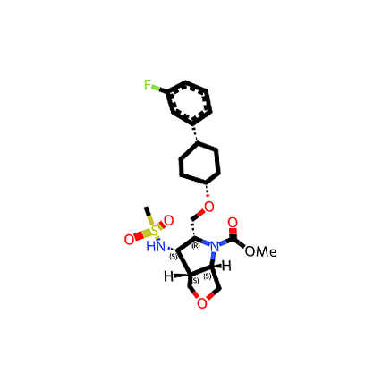 COC(=O)N1[C@@H]2COC[C@@H]2[C@H](NS(C)(=O)=O)[C@@H]1CO[C@H]1CC[C@@H](c2cccc(F)c2)CC1